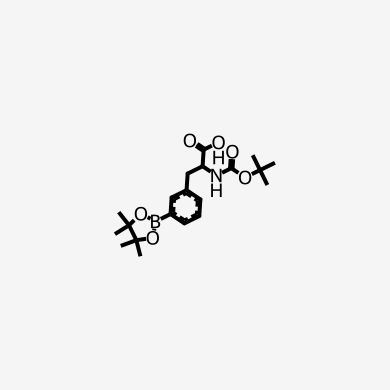 CC(C)(C)OC(=O)NC(Cc1cccc(B2OC(C)(C)C(C)(C)O2)c1)C(=O)O